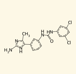 Cc1nc(N)[nH]c1-c1cccc(NC(=O)Nc2cc(Cl)cc(Cl)c2)c1